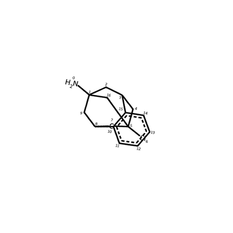 NC12CC3CC(Cl)(CC(C1)c1ccccc13)C2